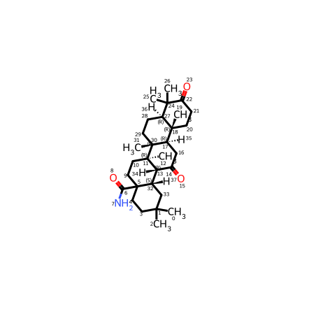 CC1(C)CCC2(C(N)=O)CC[C@]3(C)[C@H](C(=O)C[C@@H]4[C@@]5(C)CCC(=O)C(C)(C)[C@@H]5CC[C@]43C)[C@@H]2C1